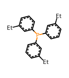 CCc1cccc(P(c2cccc(CC)c2)c2cccc(CC)c2)c1